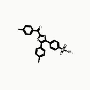 Cc1ccc(C(=O)c2nc(-c3ccc(S(N)(=O)=O)cc3)c(-c3ccc(F)cc3)s2)cc1